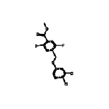 COC(=O)c1cc(F)c(COc2ccc(Cl)c(Cl)c2)cc1F